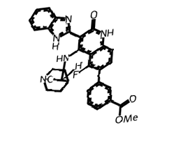 COC(=O)c1cccc(-c2ccc3[nH]c(=O)c(-c4nc5ccccc5[nH]4)c(N[C@H]4CN5CCC4CC5)c3c2F)c1